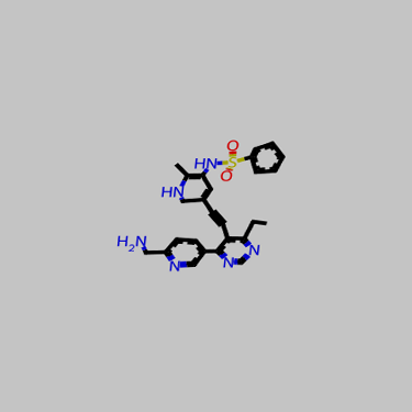 CCc1ncnc(-c2ccc(CN)nc2)c1C#CC1=CC(NS(=O)(=O)c2ccccc2)=C(C)NC1